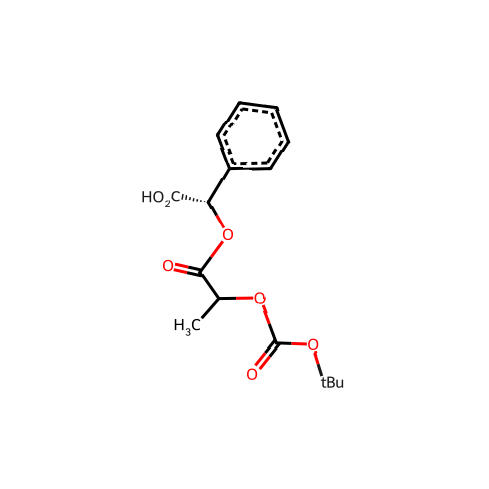 CC(OC(=O)OC(C)(C)C)C(=O)O[C@H](C(=O)O)c1ccccc1